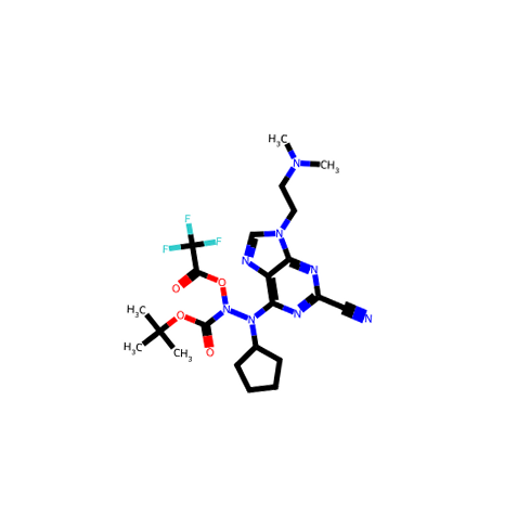 CN(C)CCn1cnc2c(N(C3CCCC3)N(OC(=O)C(F)(F)F)C(=O)OC(C)(C)C)nc(C#N)nc21